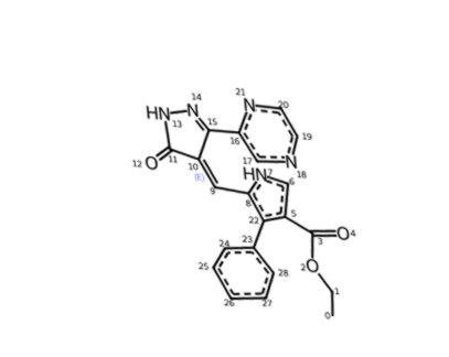 CCOC(=O)c1c[nH]c(/C=C2/C(=O)NN=C2c2cnccn2)c1-c1ccccc1